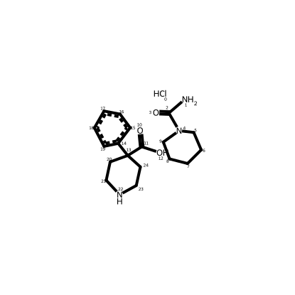 Cl.NC(=O)N1CCCCC1.O=C(O)C1(c2ccccc2)CCNCC1